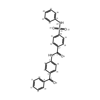 O=C(Nc1ccc(C(=O)c2ccccc2)cc1)c1ccc(S(=O)(=O)Nc2ccccc2)cc1